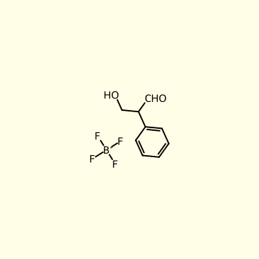 F[B-](F)(F)F.O=[C+]C(CO)c1ccccc1